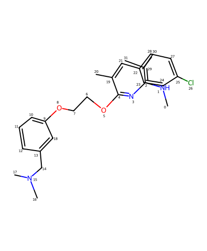 CNC(/N=C(OCCOc1cccc(CN(C)C)c1)\C(C)=C/c1ccc(Cl)cc1)=C(C)C